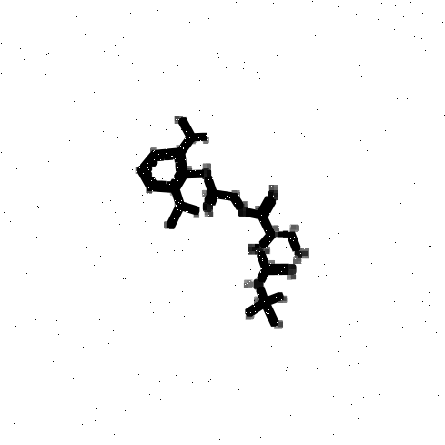 CC(C)c1cccc(C(C)C)c1OC(=O)COC(=O)[C@H](CS)NC(=O)OC(C)(C)C